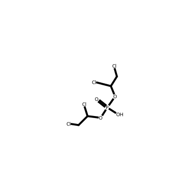 O=P(O)(OC(Cl)CCl)OC(Cl)CCl